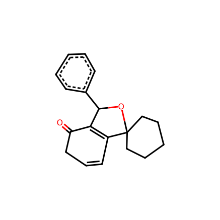 O=C1CC=CC2=C1C(c1ccccc1)OC21CCCCC1